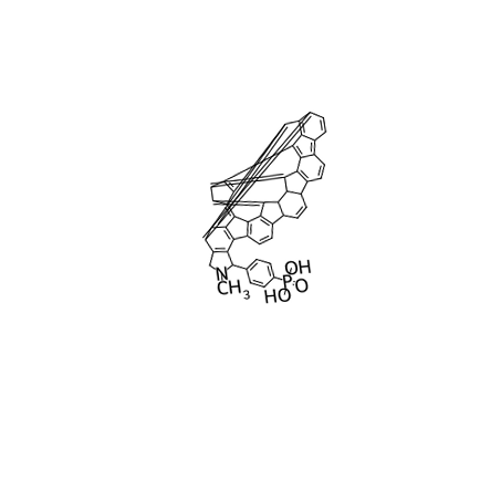 CN1Cc2c(c3c4ccc5c6c7c8c9c%10c%11c(ccc%12c%13ccc%14c2c2c3c(c64)c8c3c9c(c%11%12)c%13c%14c23)C2C=CC5C7C%102)C1c1ccc(P(=O)(O)O)cc1